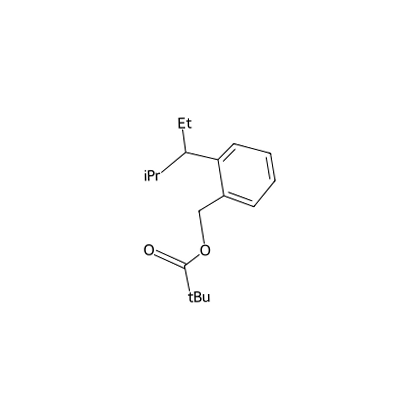 CCC(c1ccccc1COC(=O)C(C)(C)C)C(C)C